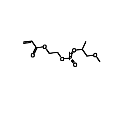 C=CC(=O)OCCO[PH](=O)OC(C)COC